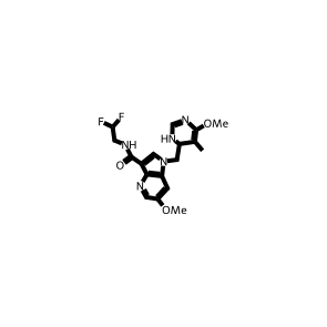 COC1=C(C)C(Cn2cc(C(=O)NCC(F)F)c3ncc(OC)cc32)NC=N1